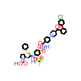 O=C(NS(=O)(=O)c1ccc(N[C@@H](CSc2ccccc2)C[C@H]2CCCN2C(=O)O)c(S(=O)(=O)C(F)(F)F)c1)c1ccc(N2CCC([C@@H](O)c3ccccc3-c3ccc(Cl)cc3)CC2)cc1